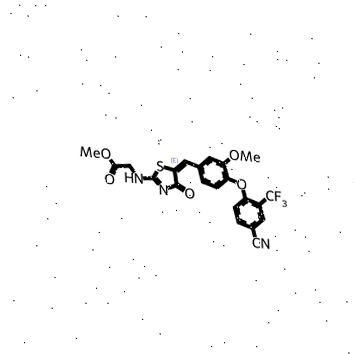 COC(=O)CNC1=NC(=O)/C(=C\c2ccc(Oc3ccc(C#N)cc3C(F)(F)F)c(OC)c2)S1